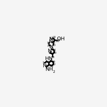 Nc1nccc2c(NCc3ccc(N4CCn5ncc(CO)c5C4)nc3)cccc12